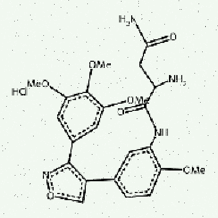 COc1ccc(-c2conc2-c2cc(OC)c(OC)c(OC)c2)cc1NC(=O)C(N)CC(N)=O.Cl